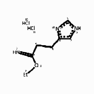 CCOC(=N)CCc1c[nH]cn1.Cl.Cl